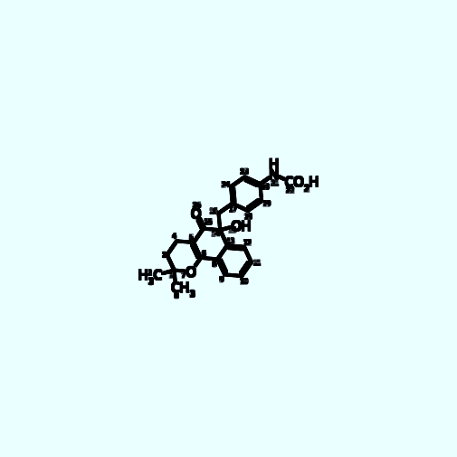 CC1(C)CCC2=C(O1)c1ccccc1C(O)(Cc1ccc(NC(=O)O)cc1)C2=O